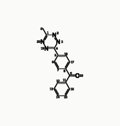 Cc1nnc(-c2ccc(C(=O)c3ccccc3)cc2)nn1